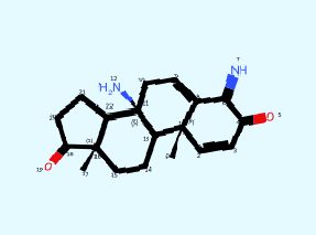 C[C@]12C=CC(=O)C(=N)C1=CC[C@]1(N)C2CC[C@]2(C)C(=O)CCC12